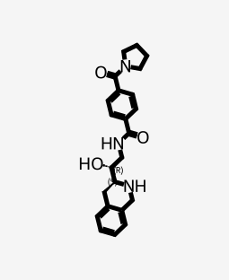 O=C(NC[C@@H](O)[C@@H]1Cc2ccccc2CN1)c1ccc(C(=O)N2CCCC2)cc1